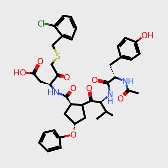 CC(=O)N[C@@H](Cc1ccc(O)cc1)C(=O)N[C@H](C(=O)C1C[C@H](Oc2ccccc2)C[C@H]1C(=O)N[C@@H](CC(=O)O)C(=O)CSCc1ccccc1Cl)C(C)C